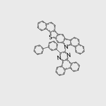 c1ccc(-c2cccc(-c3nc4c5ccccc5c5ccccc5c4nc3-n3c4cc5sc6c7ccccc7ccc6c5cc4c4ccc5ccccc5c43)c2)cc1